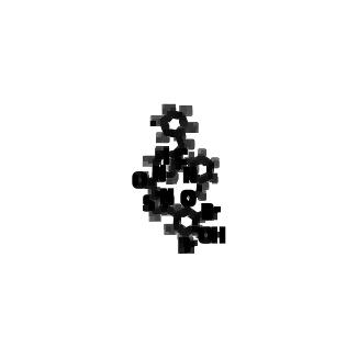 Cc1cccc(COc2c(-c3csc(C(=O)N4CCC(Cc5ccccc5)CC4)n3)cc(Br)c(O)c2Br)n1